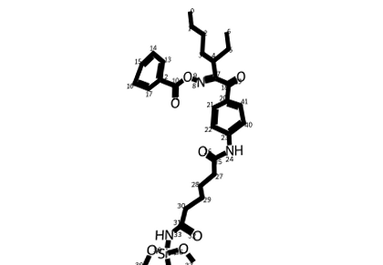 CCCCC(CC)/C(=N\OC(=O)c1ccccc1)C(=O)c1ccc(NC(=O)CCCCC(=O)N[Si](C)(OC)OC)cc1